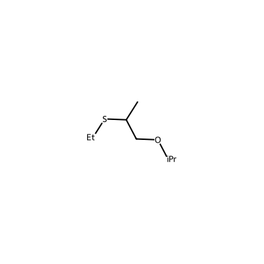 [CH2]CSC(C)COC([CH2])C